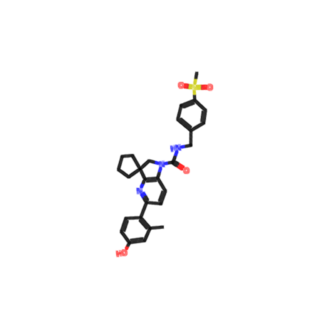 Cc1cc(O)ccc1-c1ccc2c(n1)C1(CCCC1)CN2C(=O)NCc1ccc(S(C)(=O)=O)cc1